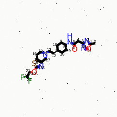 Cc1nc(CC(=O)N[C@H]2CC[C@H](CCN3CCc4sc(OCC(F)F)nc4C3)CC2)no1